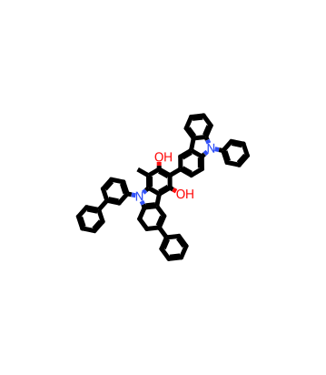 Cc1c(O)c(-c2ccc3c(c2)c2ccccc2n3-c2ccccc2)c(O)c2c3c(n(-c4cccc(-c5ccccc5)c4)c12)CCC(c1ccccc1)=C3